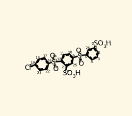 O=S(=O)(O)c1cccc(S(=O)(=O)c2ccc(S(=O)(=O)c3ccc(Cl)cc3)c(S(=O)(=O)O)c2)c1